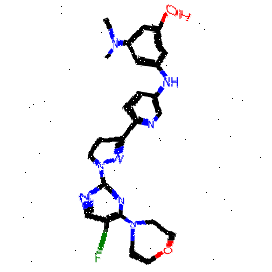 CN(C)c1cc(O)cc(Nc2ccc(C3=NN(c4ncc(F)c(N5CCOCC5)n4)CC3)nc2)c1